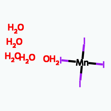 O.O.O.O.O.[I][Mn]([I])([I])[I]